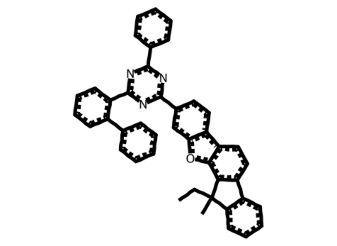 CCC1(C)c2ccccc2-c2ccc3c(oc4cc(-c5nc(-c6ccccc6)nc(-c6ccccc6-c6ccccc6)n5)ccc43)c21